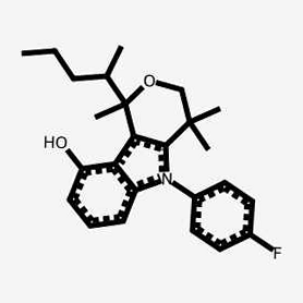 CCCC(C)C1(C)OCC(C)(C)c2c1c1c(O)cccc1n2-c1ccc(F)cc1